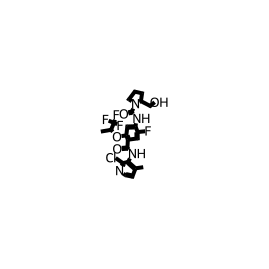 Cc1ccnc(Cl)c1NC(=O)c1cc(F)c(NC(=O)N2CCCC2CO)cc1OC(C)C(F)(F)F